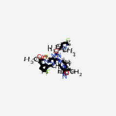 C#Cc1c(F)ccc2c1N(c1ncc3c(N4C[C@H]5CC(C#N)[C@@H](C4)N5C(=O)C=C)nc(OC[C@]4(C)C[C@@H](F)CN4C)nc3c1F)C[C@@](C)(O)C2